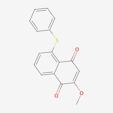 COC1=CC(=O)c2c(Sc3ccccc3)cccc2C1=O